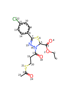 CCOC(=O)C1SC(c2ccc(Cl)cc2)=NN1C(=O)CCSC(C)=O